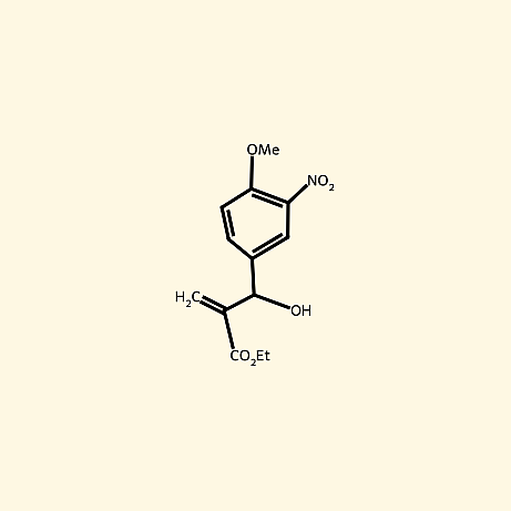 C=C(C(=O)OCC)C(O)c1ccc(OC)c([N+](=O)[O-])c1